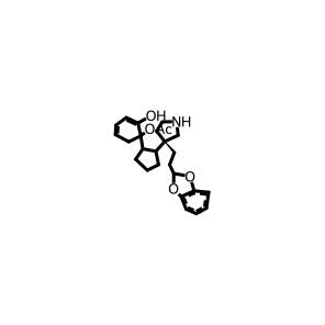 CC(=O)OC1(C2CCCC2[C@]2(CCC3Oc4ccccc4O3)CCNC2)CC=CC=C1O